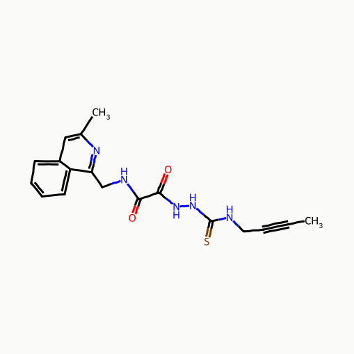 CC#CCNC(=S)NNC(=O)C(=O)NCc1nc(C)cc2ccccc12